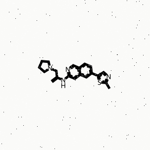 C=C(CN1CCCC1)Nc1cc2cc(-c3cnc(C)s3)ccc2cn1